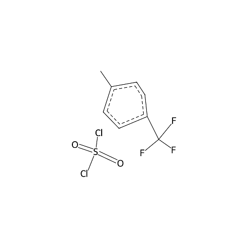 Cc1ccc(C(F)(F)F)cc1.O=S(=O)(Cl)Cl